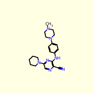 CN1CCN(c2ccc(Nc3nc(N4CCCCC4)cnc3C#N)cc2)CC1